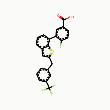 O=C(O)c1ccc(F)c(-c2cccc3cc(Cc4cccc(C(F)(F)F)c4)sc23)c1